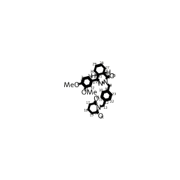 COc1ccc(C2=NN(Cc3ccc(CN4C(=O)CCCC4=O)cc3)C(=O)[C@H]3CC=CC[C@@H]23)cc1OC